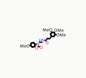 COc1ccc2c(c1)oc(=O)n2CCNC(=O)/C=C/c1cc(OC)c(OC)c(OC)c1